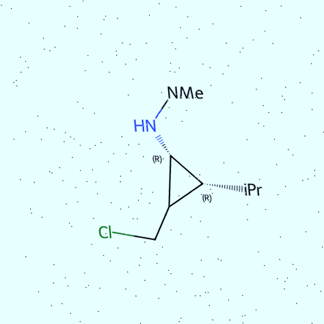 CNN[C@H]1C(CCl)[C@H]1C(C)C